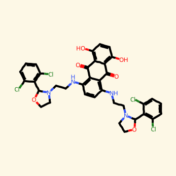 O=C1c2c(O)ccc(O)c2C(=O)c2c(NCCN3CCOC3c3c(Cl)cccc3Cl)ccc(NCCN3CCOC3c3c(Cl)cccc3Cl)c21